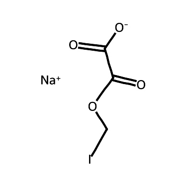 O=C([O-])C(=O)OCI.[Na+]